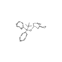 CC(C)(C)[Si](OC1CNC(=O)C1)(c1ccccc1)c1ccccc1